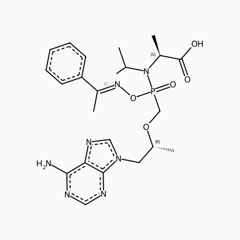 C/C(=N\OP(=O)(CO[C@H](C)Cn1cnc2c(N)ncnc21)N(C(C)C)[C@@H](C)C(=O)O)c1ccccc1